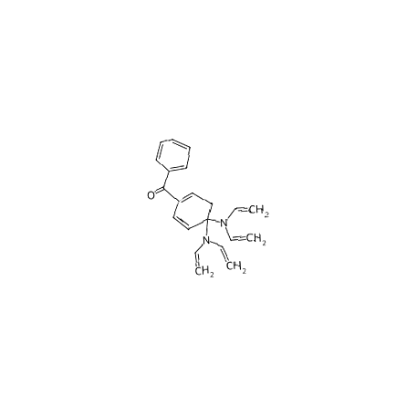 C=CN(C=C)C1(N(C=C)C=C)C=CC(C(=O)c2ccccc2)=CC1